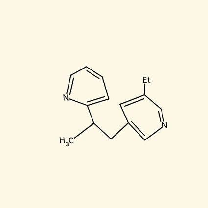 CCc1cncc(CC(C)c2ccccn2)c1